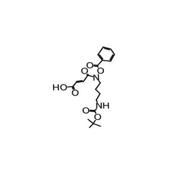 CC(C)(C)OC(=O)NCCCCN(OC(=O)c1ccccc1)C(=O)/C=C/C(=O)O